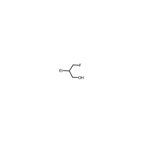 CCC(CO)CF